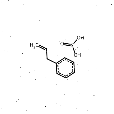 C=CCc1ccccc1.O=S(O)O